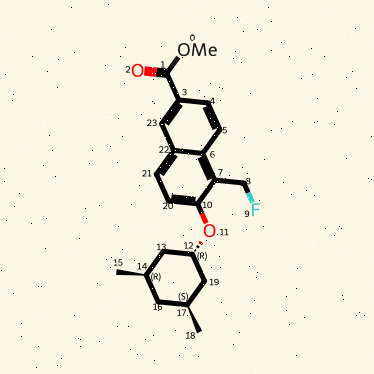 COC(=O)c1ccc2c(CF)c(O[C@H]3C[C@H](C)C[C@H](C)C3)ccc2c1